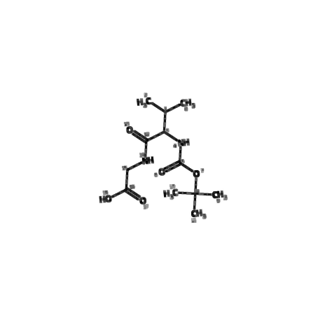 CC(C)C(NC(=O)OC(C)(C)C)C(=O)NCC(=O)O